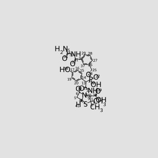 CC1(C)S[C@@H]2CC(=O)N2[C@@]1(NC(=O)C(c1ccc(O)cc1)P(=O)(O)OCc1cccc(C(=O)NC(N)=O)c1)C(=O)O